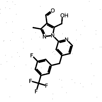 Cc1nn(-c2cc(Cc3cc(F)cc(C(F)(F)F)c3)ccn2)c(CO)c1C=O